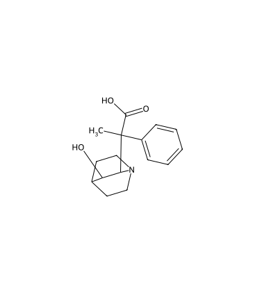 CC(C(=O)O)(c1ccccc1)C1C(O)C2CCN1CC2